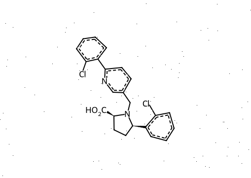 O=C(O)[C@@H]1CC[C@H](c2ccccc2Cl)N1Cc1ccc(-c2ccccc2Cl)nc1